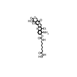 CCc1c2c(nc3ccc(OC(=O)NCCCCCCC(=O)NO)c(N)c13)-c1cc3c(c(=O)n1C2)COC(=O)[C@]3(O)CC